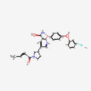 CC=CC(=O)N1CCC(c2cnc(Oc3ccc(Oc4cccc(F)c4)cc3)c(C(N)=O)c2)C1